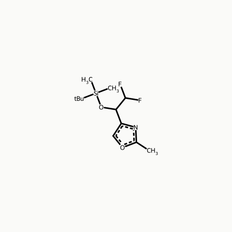 Cc1nc(C(O[Si](C)(C)C(C)(C)C)C(F)F)co1